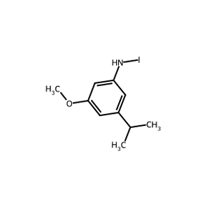 COc1cc(NI)cc(C(C)C)c1